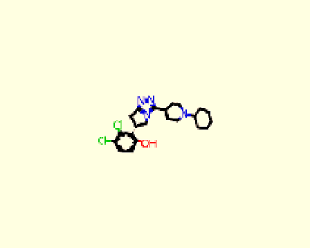 Oc1ccc(Cl)c(Cl)c1[C@@H]1Cc2nnc(C3CCN(C4CCCCC4)CC3)n2C1